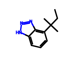 CCC(C)(C)c1cccc2[nH]nnc12